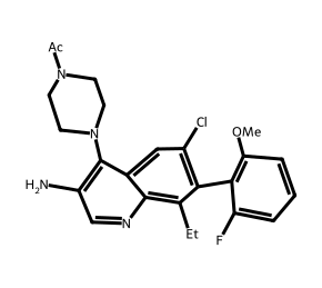 CCc1c(-c2c(F)cccc2OC)c(Cl)cc2c(N3CCN(C(C)=O)CC3)c(N)cnc12